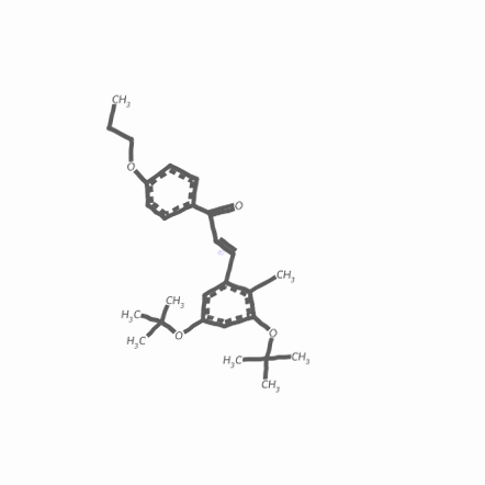 CCCOc1ccc(C(=O)/C=C/c2cc(OC(C)(C)C)cc(OC(C)(C)C)c2C)cc1